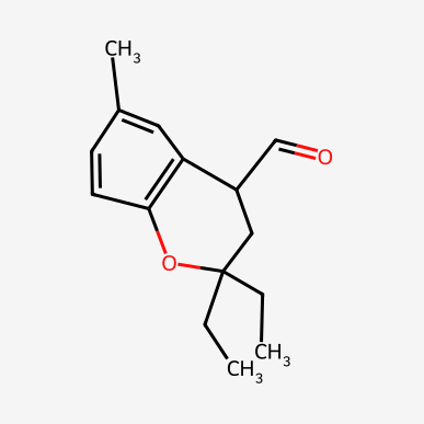 CCC1(CC)CC(C=O)c2cc(C)ccc2O1